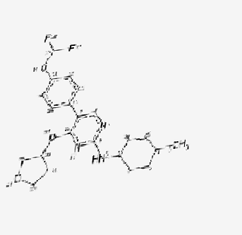 CC1CCC(Nc2ncc(-c3ccc(OC(F)F)cc3)c(OC3CCOC3)n2)CC1